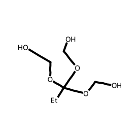 [CH2]CC(OCO)(OCO)OCO